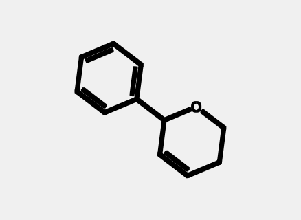 C1=CC(c2ccccc2)OCC1